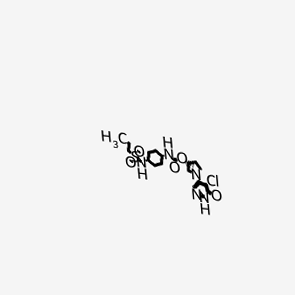 CCCS(=O)(=O)N[C@H]1CC[C@H](NC(=O)O[C@@H]2CCN(c3cn[nH]c(=O)c3Cl)C2)CC1